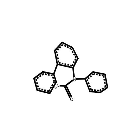 NC(=O)N(c1ccccc1)c1ccccc1-c1[c]cccc1